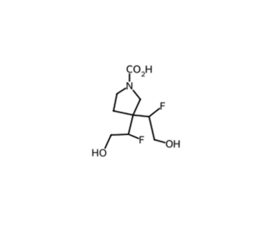 O=C(O)N1CCC(C(F)CO)(C(F)CO)C1